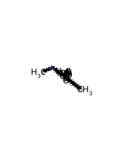 CCCCCCC/C=C\CCCCCCCC(=O)OC(COC(=O)CCCCCCCCCCCC)COP(=O)(O)OC